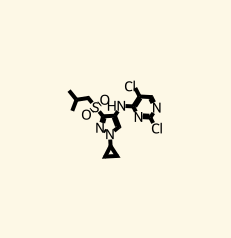 CC(C)CS(=O)(=O)c1nn(C2CC2)cc1Nc1nc(Cl)ncc1Cl